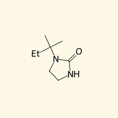 CCC(C)(C)N1CCNC1=O